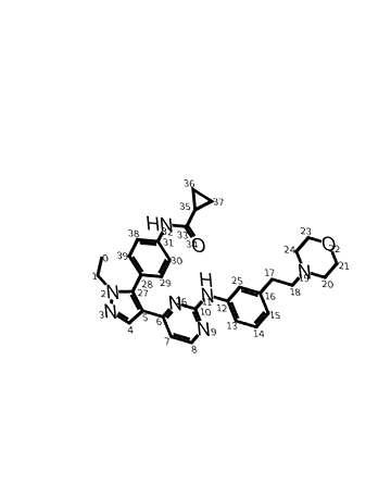 CCn1ncc(-c2ccnc(Nc3cccc(CCN4CCOCC4)c3)n2)c1-c1ccc(NC(=O)C2CC2)cc1